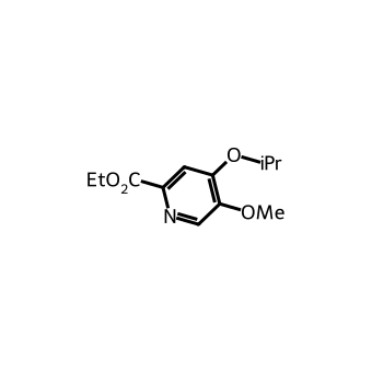 CCOC(=O)c1cc(OC(C)C)c(OC)cn1